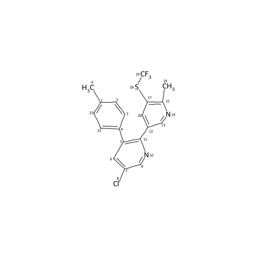 Cc1ccc(-c2cc(Cl)cnc2-c2cnc(C)c(SC(F)(F)F)c2)cc1